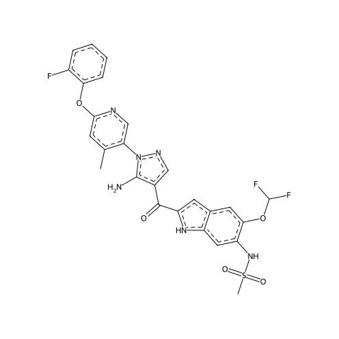 Cc1cc(Oc2ccccc2F)ncc1-n1ncc(C(=O)c2cc3cc(OC(F)F)c(NS(C)(=O)=O)cc3[nH]2)c1N